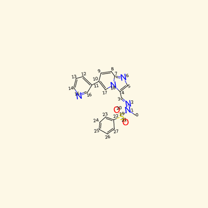 CN(/N=C/c1cnc2ccc(-c3cccnc3)cn12)S(=O)(=O)c1ccccc1